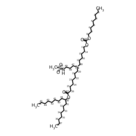 CCCCCCCCCOC(=O)OCCCCCCN(CCCCCCCC(=O)OC(CCCCCCCC)CCCCCCCC)CCCNS(C)(=O)=O